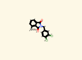 CC(=O)Nc1cccc2c1C(=O)N(Cc1ccc(Cl)c(Cl)c1)C2=O